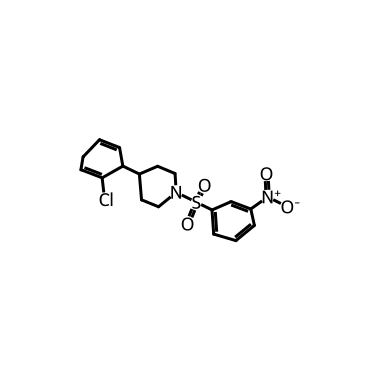 O=[N+]([O-])c1cccc(S(=O)(=O)N2CCC(C3C=CCC=C3Cl)CC2)c1